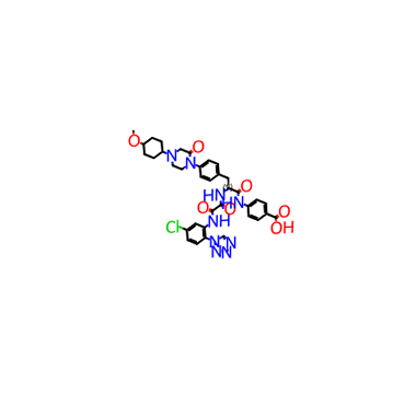 COC1CCC(N2CCN(c3ccc(C[C@H](NC(=O)C(=O)Nc4cc(Cl)ccc4-n4cnnn4)C(=O)Nc4ccc(C(=O)O)cc4)cc3)C(=O)C2)CC1